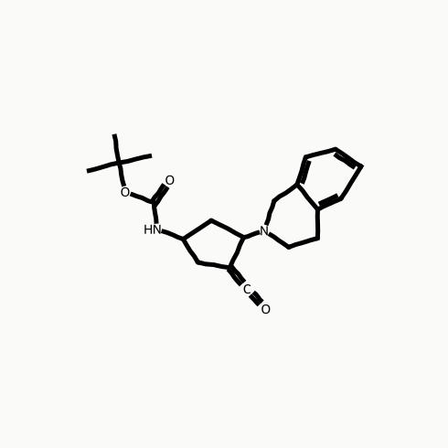 CC(C)(C)OC(=O)NC1CC(=C=O)C(N2CCc3ccccc3C2)C1